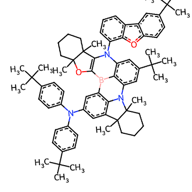 CC(C)(C)c1ccc(N(c2ccc(C(C)(C)C)cc2)c2cc3c4c(c2)C2(C)CCCCC2(C)N4c2cc(C(C)(C)C)cc4c2B3C2=C(N4c3cccc4c3oc3ccc(C(C)(C)C)cc34)C3(C)CCCCC3(C)O2)cc1